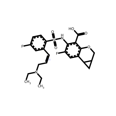 CCN(CC)C/C=C\c1cc(F)ccc1S(=O)(=O)Nc1c(F)cc2c(c1C(=O)O)OCC1CC21